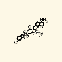 NC(=O)C(Cc1ccc2c(N)ccnc2c1)N1C(=O)CN(S(=O)(=O)c2cc3ccc(Cl)cc3s2)CC1C(=O)O